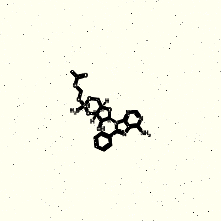 B[PH]1(OCOC(C)=O)OC[C@H]2O[C@@H](n3c(-c4ccccc4)nc4c(N)ncnc43)C(O)[C@@H]2O1